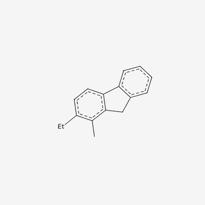 CCc1ccc2c(c1C)Cc1ccccc1-2